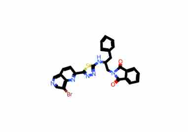 O=C1c2ccccc2C(=O)N1CC(Cc1ccccc1)Nc1nnc(-c2ccc3cncc(Br)c3n2)s1